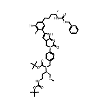 COC[C@@H](CCNC(=O)OC(C)(C)C)N(Cc1ccc(-n2cc3cc(-c4cc(CCC[C@H](C)NC(=O)OCc5ccccc5)cc(Cl)c4F)[nH]c3nc2=O)cc1)C(=O)OC(C)(C)C